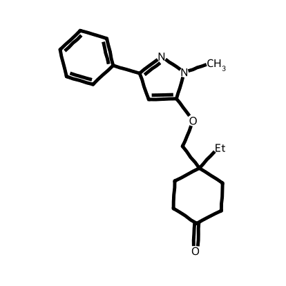 CCC1(COc2cc(-c3ccccc3)nn2C)CCC(=O)CC1